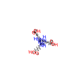 O=C(O)CCCCCNc1nc(NCCCC(=O)O)nc(NCCCC(=O)O)n1